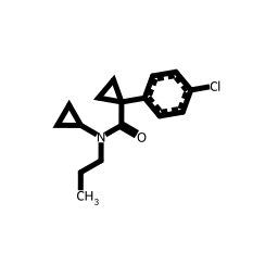 CCCN(C(=O)C1(c2ccc(Cl)cc2)CC1)C1CC1